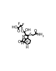 NC(=O)CSC1=C(C(=O)O)N2C(=O)[C@H]3NCCC1[C@H]32.O=C(O)C(F)(F)F